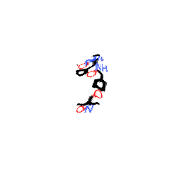 COc1ccccc1C(NC(=O)Cc1ccc(OCc2c(C)noc2C)cc1)c1nccn1C